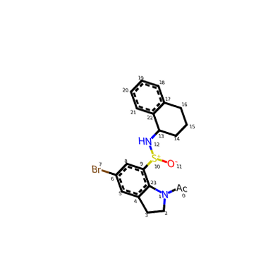 CC(=O)N1CCc2cc(Br)cc([S+]([O-])NC3CCCc4ccccc43)c21